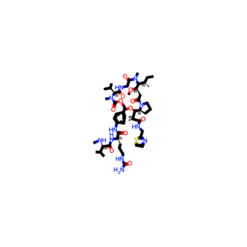 CC[C@H](C)C([C@@H](CC(=O)N1CCC[C@H]1[C@H](OC)[C@@H](C)C(=O)NCc1nccs1)OC)N(C)C(=O)CNC(=O)[C@H](C(C)C)N(C)C(=O)OCc1ccc(NC(=O)[C@H](CCCNC(N)=O)NC(=O)[C@@H](NC)C(C)C)cc1